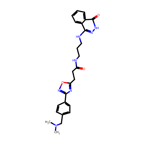 CN(C)Cc1ccc(-c2noc(CCC(=O)NCCCNc3n[nH]c(=O)c4ccccc34)n2)cc1